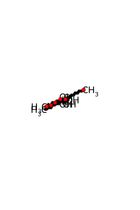 CCCCCCCCCOC[C@](O)(CCCCCCCCC)[C@@](O)(CCCCCCCCC)[C@@H](O)CO